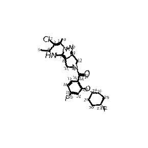 CC1=C(Cl)C(C)Nc2c3c(nn21)CN(C(=O)c1ccc(F)cc1O[C@H]1CC[C@@H](F)CC1)C3